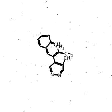 C=c1cccc/c1=C/C(=C(C)C)c1cnncc1C